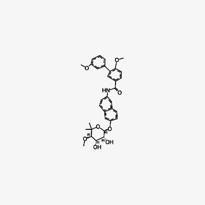 COc1cccc(-c2cc(C(=O)Nc3ccc4cc(O[C@@H]5OC(C)(C)[C@H](OC)[C@@H](O)[C@H]5O)ccc4c3)ccc2OC)c1